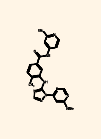 CNc1cc(-n2ncnc2Nc2cc(C(=O)Nc3ccnc(C(C)(C)C)c3)ccc2C)ncn1